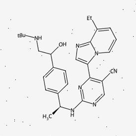 CCc1cccn2c(-c3nc(N[C@@H](C)c4ccc(C(O)CNC(C)(C)C)cc4)ncc3C#N)cnc12